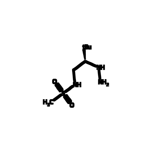 CC(C)(C)[C@@H](CNS(C)(=O)=O)NN